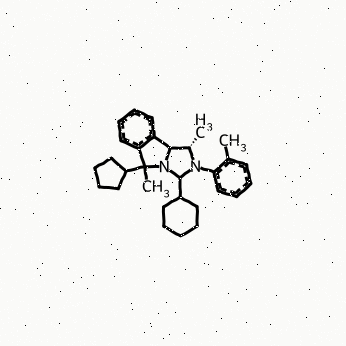 Cc1ccccc1N1C(C2CCCCC2)N2C(c3ccccc3C2(C)C2CCCC2)[C@@H]1C